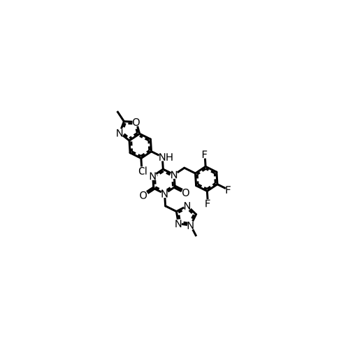 Cc1nc2cc(Cl)c(Nc3nc(=O)n(Cc4ncn(C)n4)c(=O)n3Cc3cc(F)c(F)cc3F)cc2o1